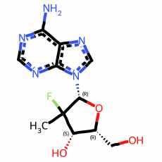 CC1(F)[C@@H](O)[C@@H](CO)O[C@H]1n1cnc2c(N)ncnc21